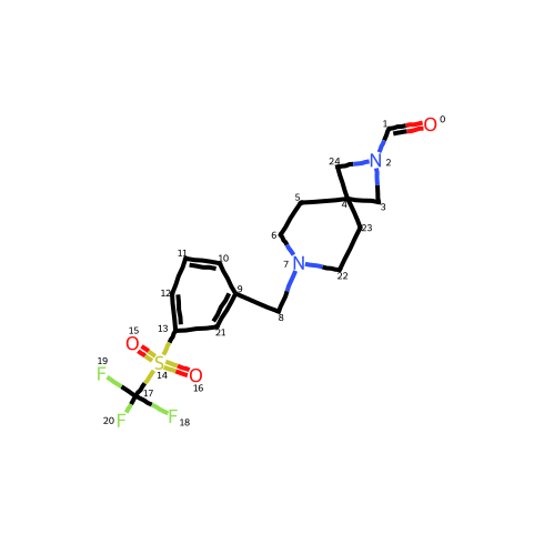 O=CN1CC2(CCN(Cc3cccc(S(=O)(=O)C(F)(F)F)c3)CC2)C1